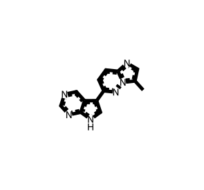 Cc1cnc2ccc(-c3c[nH]c4ncncc34)nn12